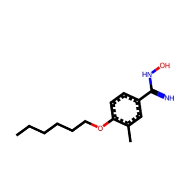 CCCCCCOc1ccc(C(=N)NO)cc1C